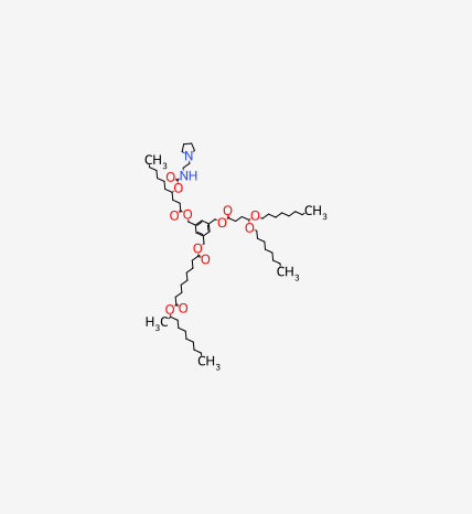 CCCCCCCCOC(CCC(=O)OCc1cc(COC(=O)CCCCCCCC(=O)OC(C)CCCCCCCC)cc(COC(=O)CCC(CCCCCC)OC(=O)NCCN2CCCC2)c1)OCCCCCCCC